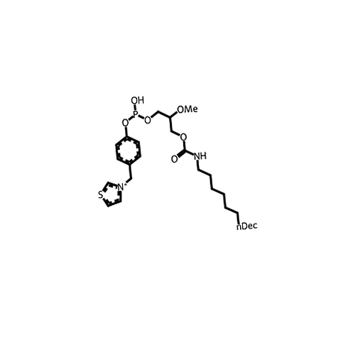 CCCCCCCCCCCCCCCCNC(=O)OCC(COP(O)Oc1ccc(C[n+]2ccsc2)cc1)OC